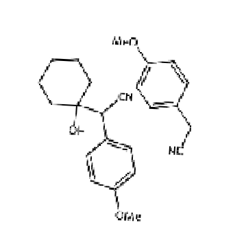 COc1ccc(C(C#N)C2(O)CCCCC2)cc1.COc1ccc(CC#N)cc1